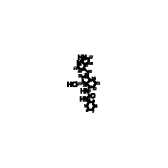 Cl.O=C(Nc1ccccc1)Nc1cccc2c1ccn2Cc1ccnc2[nH]ccc12